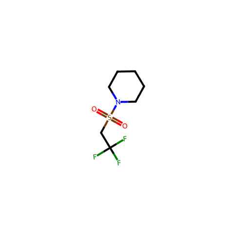 O=S(=O)(CC(F)(F)F)N1CCCCC1